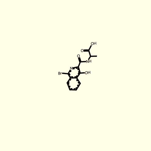 CC(NC(=O)c1nc(Br)c2ccccc2c1O)C(=O)O